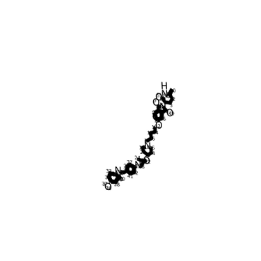 C=C1CCC(N2C(=O)c3ccc(OCCCCCN4CCC(OC5CN(c6ccc(-c7nc8ccc(OC)cc8s7)cc6)C5)CC4)cc3C2=O)C(=O)N1